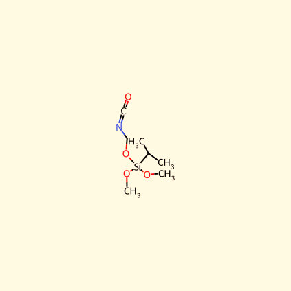 CO[Si](OC)(OCN=C=O)C(C)C